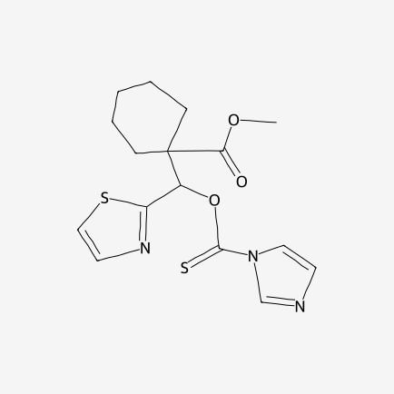 COC(=O)C1(C(OC(=S)n2ccnc2)c2nccs2)CCCCC1